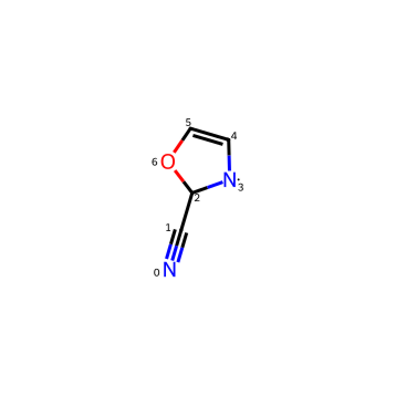 N#CC1[N]C=CO1